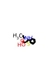 CCCNc1c(C(=O)O)sc2ccccc12